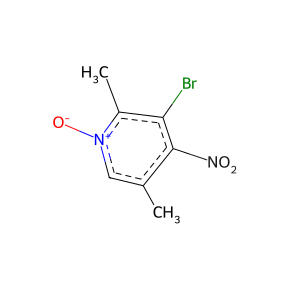 Cc1c[n+]([O-])c(C)c(Br)c1[N+](=O)[O-]